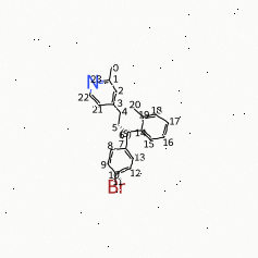 Cc1cc(CC[C@@H](c2ccc(Br)cc2)c2ccccc2C)ccn1